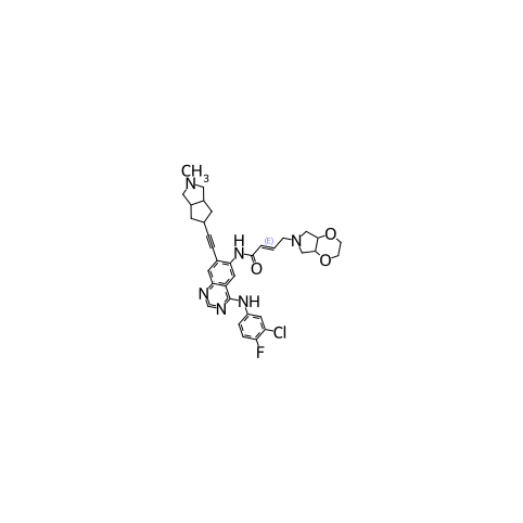 CN1CC2CC(C#Cc3cc4ncnc(Nc5ccc(F)c(Cl)c5)c4cc3NC(=O)/C=C/CN3CC4OCCOC4C3)CC2C1